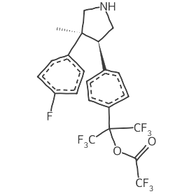 C[C@]1(c2ccc(F)cc2)CNC[C@H]1c1ccc(C(OC(=O)C(F)(F)F)(C(F)(F)F)C(F)(F)F)cc1